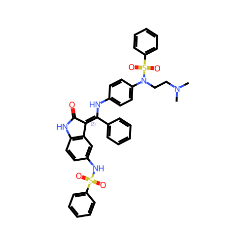 CN(C)CCN(c1ccc(N/C(=C2\C(=O)Nc3ccc(NS(=O)(=O)c4ccccc4)cc32)c2ccccc2)cc1)S(=O)(=O)c1ccccc1